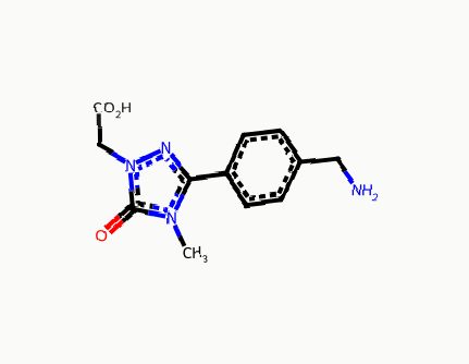 Cn1c(-c2ccc(CN)cc2)nn(CC(=O)O)c1=O